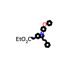 CCOC(=O)/C=C/c1ccc2c(c1)c(CCc1ccccc1)cn2-c1ccc(Oc2ccccc2)cc1